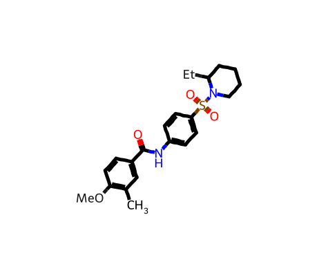 CCC1CCCCN1S(=O)(=O)c1ccc(NC(=O)c2ccc(OC)c(C)c2)cc1